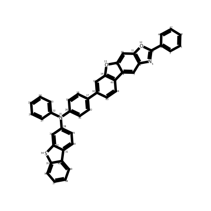 c1ccc(-c2nc3cc4c(cc3o2)oc2cc(-c3ccc(N(c5ccccc5)c5ccc6c(c5)sc5ccccc56)cc3)ccc24)cc1